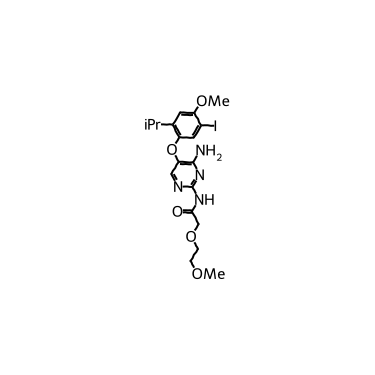 COCCOCC(=O)Nc1ncc(Oc2cc(I)c(OC)cc2C(C)C)c(N)n1